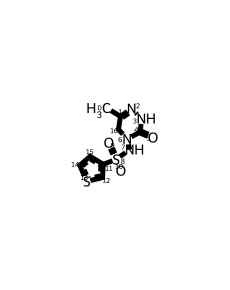 CC1=NNC(=O)N(NS(=O)(=O)c2[c]scc2)C1